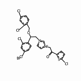 O=C(C[n+]1ccn(CC(OCc2ccc(Cl)cc2Cl)c2ccc(Cl)cc2Cl)c1)c1ccc(Cl)s1.[Br-]